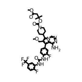 COCc1c(-c2ccc(NC(=O)Nc3cc(C(F)(F)F)ccc3F)c(F)c2)c2c(N)nncn2c1C1CCN(C(=O)OC(C)(C)CC(=O)OC)CC1